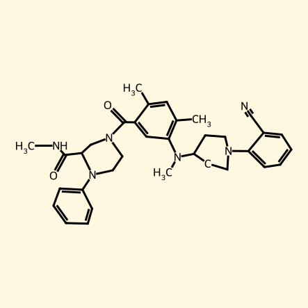 CNC(=O)C1CN(C(=O)c2cc(N(C)C3CCN(c4ccccc4C#N)CC3)c(C)cc2C)CCN1c1ccccc1